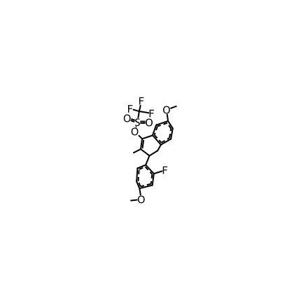 COc1ccc(C2Cc3ccc(OC)cc3C(OS(=O)(=O)C(F)(F)F)=C2C)c(F)c1